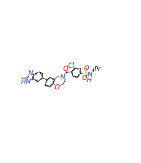 Cc1nc2ccc(-c3ccc4c(c3)CN(C(=O)c3ccc(S(=O)(=O)NC(C)C)cc3Cl)CCO4)cc2[nH]1